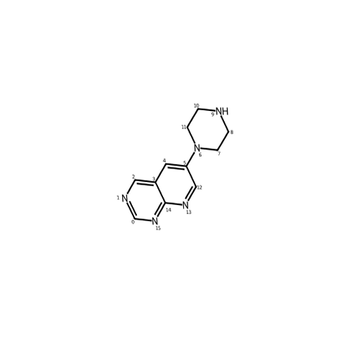 c1ncc2cc(N3CCNCC3)cnc2n1